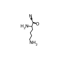 N#CC(=O)C(N)CCCCN